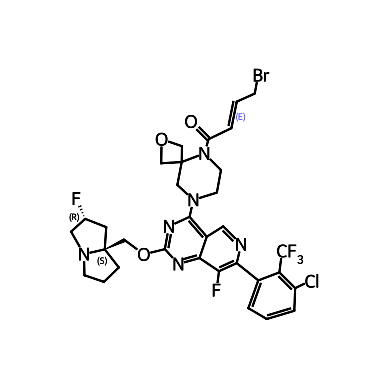 O=C(/C=C/CBr)N1CCN(c2nc(OC[C@@]34CCCN3C[C@H](F)C4)nc3c(F)c(-c4cccc(Cl)c4C(F)(F)F)ncc23)CC12COC2